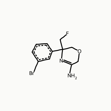 NC1=NC(CF)(c2cccc(Br)c2)COC1